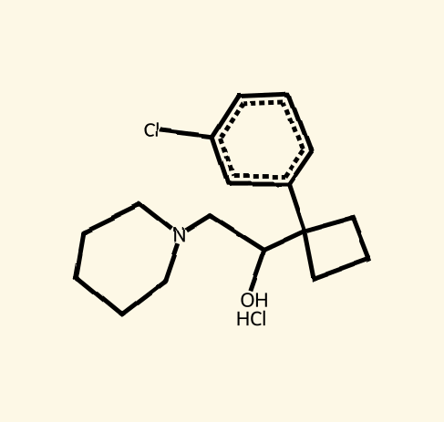 Cl.OC(CN1CCCCC1)C1(c2cccc(Cl)c2)CCC1